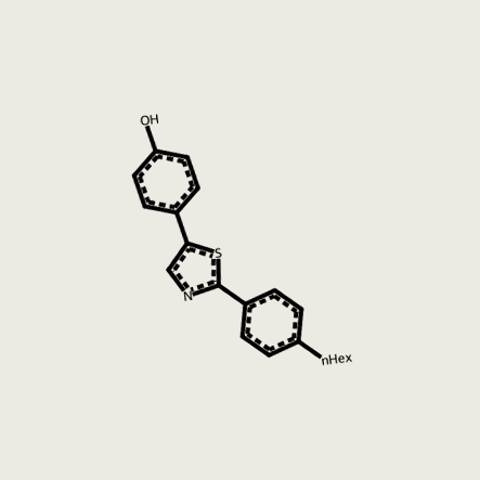 CCCCCCc1ccc(-c2ncc(-c3ccc(O)cc3)s2)cc1